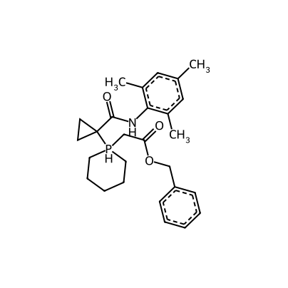 Cc1cc(C)c(NC(=O)C2([PH]3(CC(=O)OCc4ccccc4)CCCCC3)CC2)c(C)c1